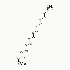 C=CCCCCCCCCCCCCCCCSC